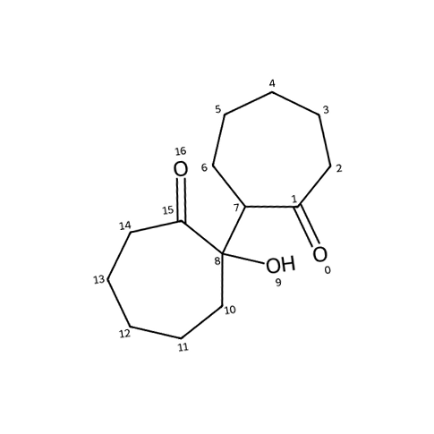 O=C1CCCCCC1C1(O)CCCCCC1=O